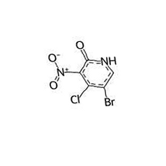 O=c1[nH]cc(Br)c(Cl)c1[N+](=O)[O-]